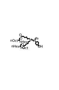 CCCCCCCCC(CCCCCC)COC(=O)CCCCCN(CCCCCC(=O)OCC(CCCCCC)CCCCCCCC)CCN(C(C)C)C1CCC(O)CC1